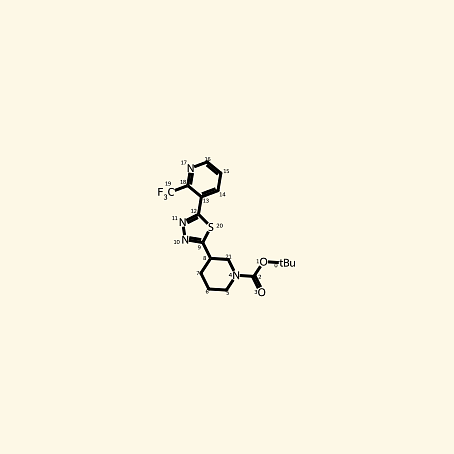 CC(C)(C)OC(=O)N1CCCC(c2nnc(-c3cccnc3C(F)(F)F)s2)C1